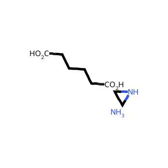 C1CN1.N.O=C(O)CCCCC(=O)O